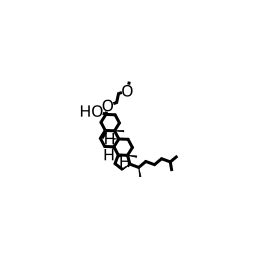 COCCOC1(O)CC[C@@]2(C)C(=CC[C@H]3[C@@H]4CC[C@H]([C@H](C)CCCC(C)C)[C@@]4(C)CC[C@@H]32)C1